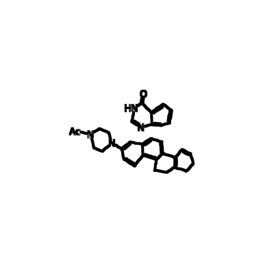 CC(=O)N1CCN(c2ccc3c4c(ccc3c2)C2=C(CCC=C2)CC4)CC1.O=c1[nH]cnc2ccccc12